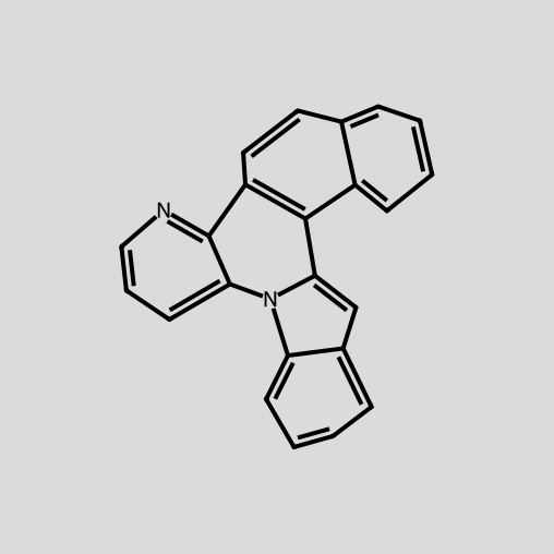 c1ccc2c(c1)ccc1c3ncccc3n3c4ccccc4cc3c21